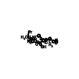 Cc1c(COc2cc(OCc3cccc(C#N)c3)c(CN3C[C@H](O)C[C@@H]3C(=O)O[C@H]3CC[C@@]4(C)C(=CC[C@H]5[C@@H]6CC[C@H]([C@H](C)CCCC(C)C)[C@H]6CC[C@@H]54)C3)cc2Cl)cccc1-c1ccc2c(c1)OCCO2